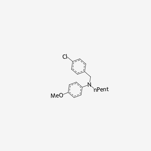 CCCCCN(Cc1ccc(Cl)cc1)c1ccc(OC)cc1